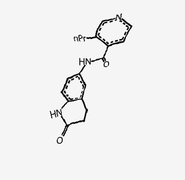 CCCc1cnccc1C(=O)Nc1ccc2c(c1)CCC(=O)N2